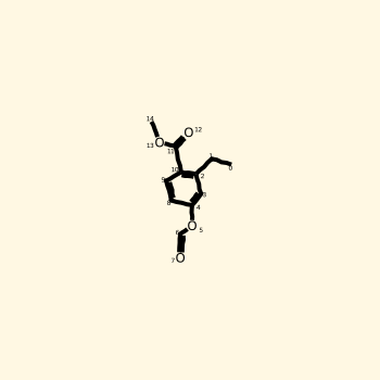 CCc1cc(OC=O)ccc1C(=O)OC